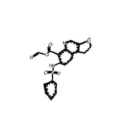 O=COC(=O)c1c(NS(=O)(=O)c2ccccc2)ccc2c3c(cnc12)OCC3